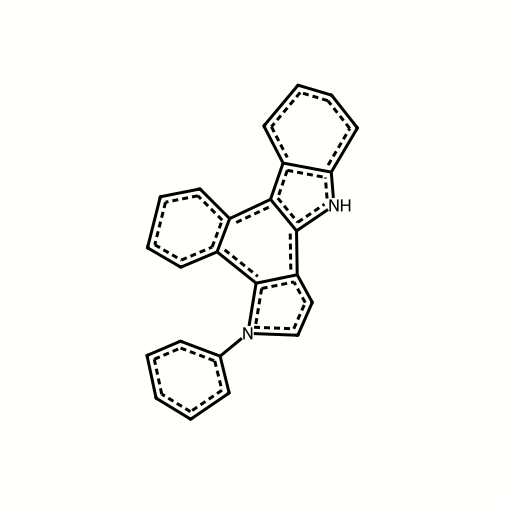 c1ccc(-n2ccc3c4[nH]c5ccccc5c4c4ccccc4c32)cc1